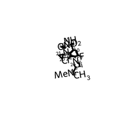 CN[C@@H](C)[C@@H]1CCN(c2c(F)cc3c(=O)n(N)c(=O)n(C4CC4)c3c2Cl)C1